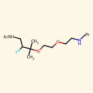 CC(=O)NCC(F)C(C)(C)OCCOCCNC(C)C